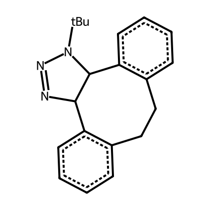 CC(C)(C)N1N=NC2c3ccccc3CCc3ccccc3C21